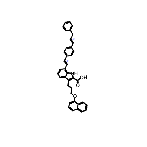 O=C(O)c1[nH]c2c(/C=C/c3ccc(/C=C/Cc4ccccc4)cc3)cccc2c1CCCOc1cccc2ccccc12